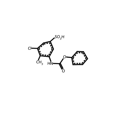 Cc1c(Cl)cc(S(=O)(=O)O)cc1NC(=O)Oc1ccccc1